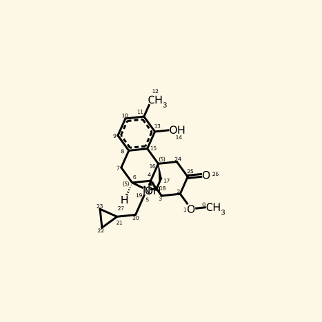 COC1C[C@]2(O)[C@@H]3Cc4ccc(C)c(O)c4[C@]2(CCN3CC2CC2)CC1=O